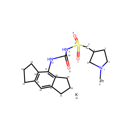 CC(C)N1CCC(CS(=O)(=O)NC(=O)Nc2c3c(cc4c2CCC4)CCC3)C1.[K]